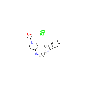 C/C(=C\c1ccccc1)[C@@H]1C[C@H]1NC1CCN(C2COC2)CC1.Cl.Cl